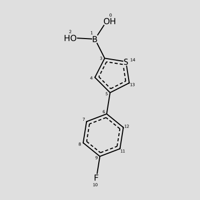 OB(O)c1cc(-c2ccc(F)cc2)cs1